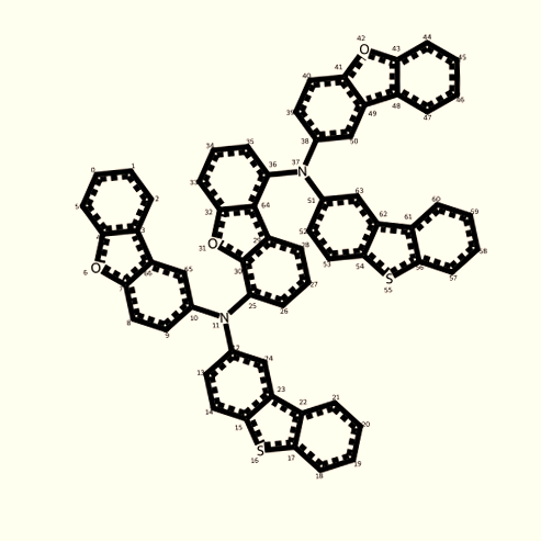 c1ccc2c(c1)oc1ccc(N(c3ccc4sc5ccccc5c4c3)c3cccc4c3oc3cccc(N(c5ccc6oc7ccccc7c6c5)c5ccc6sc7ccccc7c6c5)c34)cc12